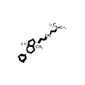 CN(C)CCO/N=C/C=C/[C@H]1CC[C@]2(O)C[C@@H](c3ccccc3)CC[C@]12C